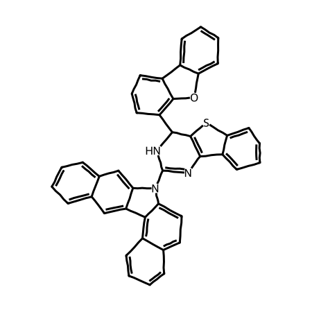 c1ccc2cc3c(cc2c1)c1c2ccccc2ccc1n3C1=Nc2c(sc3ccccc23)C(c2cccc3c2oc2ccccc23)N1